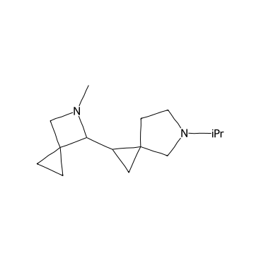 CC(C)N1CCC2(CC2C2N(C)CC23CC3)C1